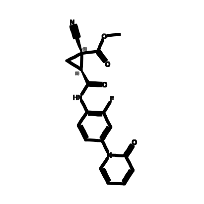 COC(=O)[C@@]1(C#N)C[C@@H]1C(=O)Nc1ccc(-n2ccccc2=O)cc1F